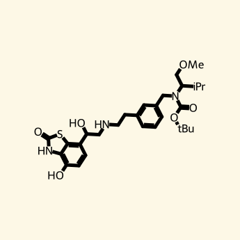 COCC(C(C)C)N(Cc1cccc(CCNCC(O)c2ccc(O)c3[nH]c(=O)sc23)c1)C(=O)OC(C)(C)C